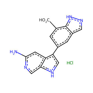 Cl.Nc1cc2c(-c3cc(C(=O)O)c4[nH]ncc4c3)c[nH]c2cn1